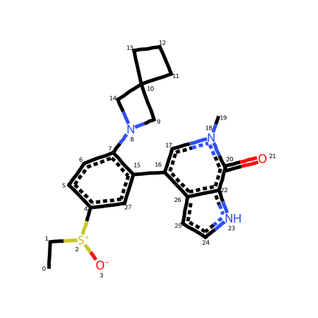 CC[S+]([O-])c1ccc(N2CC3(CCC3)C2)c(-c2cn(C)c(=O)c3[nH]ccc23)c1